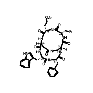 CSCC[C@@H]1NC(=O)[C@H](CC(C)C)NC(=O)[C@@H]2CNC(=O)C[C@H](NC1=O)C(=O)N[C@@H](Cc1c[nH]c3ccccc13)C(=O)N[C@@H](Cc1ccccc1)C(=O)N2